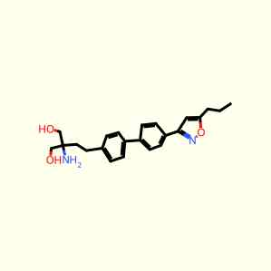 CCCc1cc(-c2ccc(-c3ccc(CCC(N)(CO)CO)cc3)cc2)no1